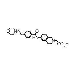 O=C(O)CN1CCc2cc(NC(=O)c3ccc(C=NN4CCOCC4)cc3)ccc2C1